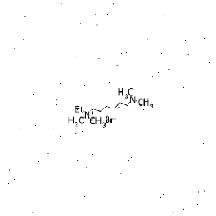 CC[N+](C)(C)CCCCCCN(C)C.[Br-]